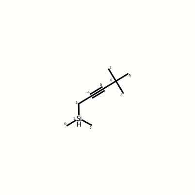 C[SiH](C)CC#CC(C)(C)C